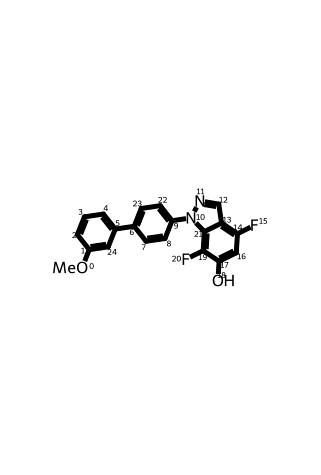 COc1cccc(-c2ccc(-n3ncc4c(F)cc(O)c(F)c43)cc2)c1